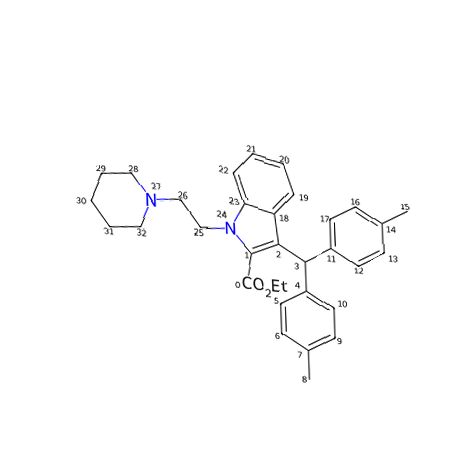 CCOC(=O)c1c(C(c2ccc(C)cc2)c2ccc(C)cc2)c2ccccc2n1CCN1CCCCC1